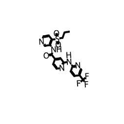 CCCS(=O)(=O)c1ccncc1NC(=O)c1ccnc(Nc2ccc(C(F)(F)F)cn2)c1